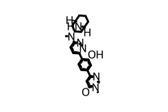 CN(c1ccc(-c2ccc(-c3cc(=O)n(C)cn3)cc2O)nn1)[C@H]1C[C@H]2CCC[C@@H](C1)N2